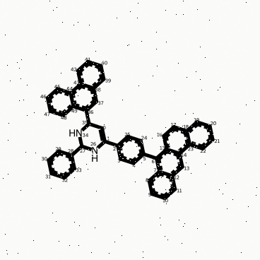 C1=C(c2ccc(-c3c4ccccc4cc4c3ccc3ccccc34)cc2)NC(c2ccccc2)NC1c1cc2ccccc2c2ccccc12